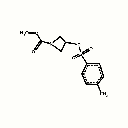 COC(=O)N1CC(OS(=O)(=O)c2ccc(C)cc2)C1